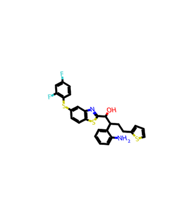 Nc1ccccc1C(CCc1cccs1)C(O)c1nc2cc(Sc3ccc(F)cc3F)ccc2s1